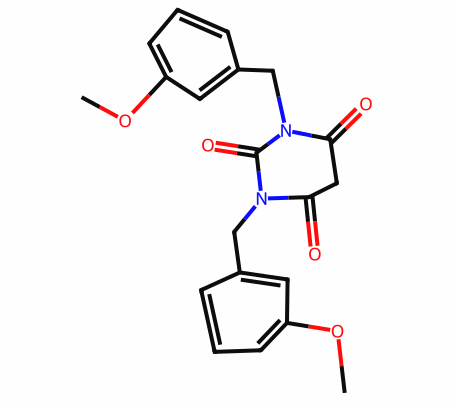 COc1cccc(CN2C(=O)CC(=O)N(Cc3cccc(OC)c3)C2=O)c1